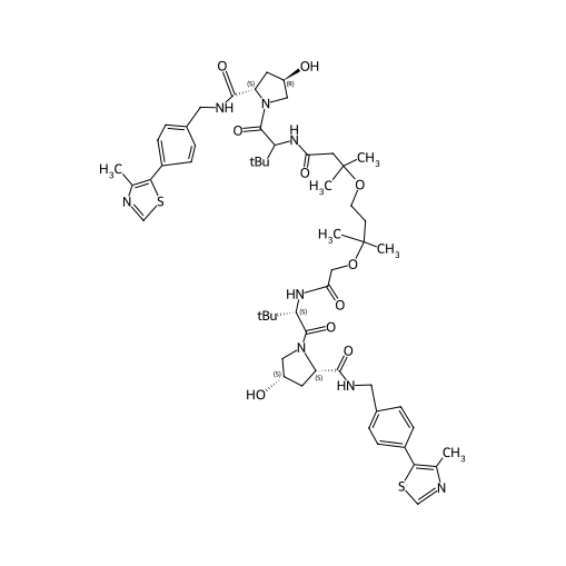 Cc1ncsc1-c1ccc(CNC(=O)[C@@H]2C[C@@H](O)CN2C(=O)C(NC(=O)CC(C)(C)OCCC(C)(C)OCC(=O)N[C@H](C(=O)N2C[C@@H](O)C[C@H]2C(=O)NCc2ccc(-c3scnc3C)cc2)C(C)(C)C)C(C)(C)C)cc1